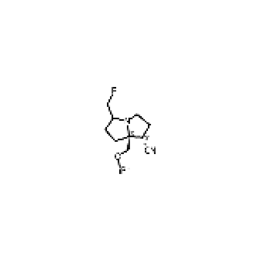 CC(C)OC[C@@]12CCC(CF)N1CC[C@@H]2C#N